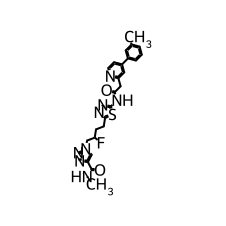 CNC(=O)c1cn(CC(F)CCc2nnc(NC(=O)Cc3cc(-c4cccc(C)c4)ccn3)s2)nn1